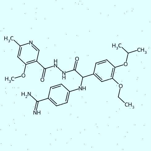 CCOc1cc(C(Nc2ccc(C(=N)N)cc2)C(=O)NNC(=O)c2cnc(C)cc2OC)ccc1OC(C)C